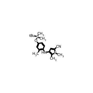 Cc1cc(O[Si](C)(C)C(C)(C)C)ccc1Nc1cc(C#N)n(C)c1C